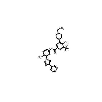 CCN1CCN(c2cc(C(=O)Nc3ccc(C)c(-n4cc(-c5cncnc5)nn4)c3)cc(C(F)(F)F)c2C)CC1